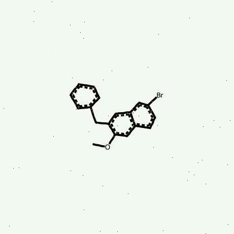 COc1cc2ccc(Br)cc2cc1Cc1ccccc1